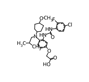 COC1CCC(N(CC(C)C)c2ccc(OCC(=O)O)cc2NC(=O)Nc2ccc(Cl)cc2F)CC1